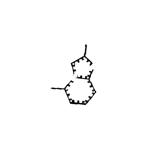 Cc1[c]n2c(Cl)cccc2n1